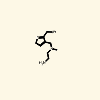 CC(C)CC1=NCC=C1CN(C)CCN